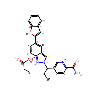 CC(C)CC(c1ccc(C(N)=O)nc1)n1cc2cc(-c3cc4ccccc4o3)ccc2n1.CCC(=O)O